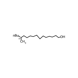 CCCC[C@H](C)CCCCCCCCCCCCO